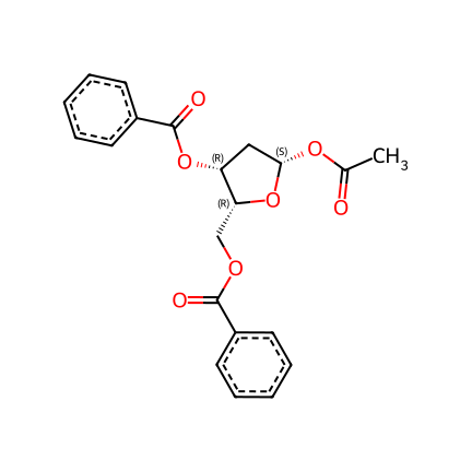 CC(=O)O[C@H]1C[C@@H](OC(=O)c2ccccc2)[C@@H](COC(=O)c2ccccc2)O1